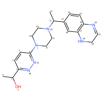 CC(O)c1ccc(N2CCN(C(C)c3ccc4c(c3)NCC=N4)CC2)nn1